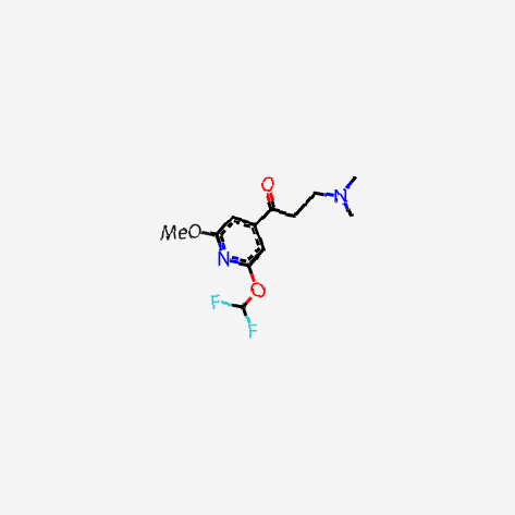 COc1cc(C(=O)CCN(C)C)cc(OC(F)F)n1